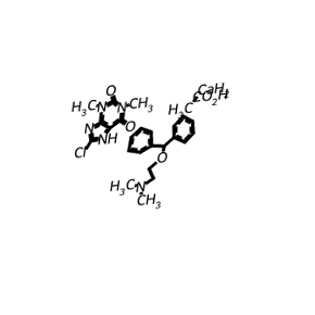 CC(=O)O.CN(C)CCOC(c1ccccc1)c1ccccc1.Cn1c(=O)c2[nH]c(Cl)nc2n(C)c1=O.[CaH2]